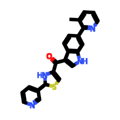 Cc1cccnc1-c1ccc2c(C(=O)C3=CSC(c4cccnc4)N3)c[nH]c2c1